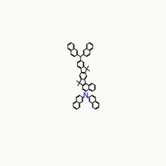 CC1(C)c2cc(C(c3ccc4ccccc4c3)c3ccc4ccccc4c3)ccc2-c2cc3c(cc21)-c1c(cc(N(c2ccc4ccccc4c2)c2ccc4ccccc4c2)c2ccccc12)C3(C)C